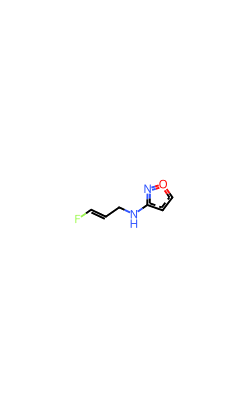 FC=CCNc1ccon1